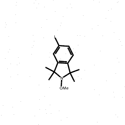 CON1C(C)(C)c2ccc(I)cc2C1(C)C